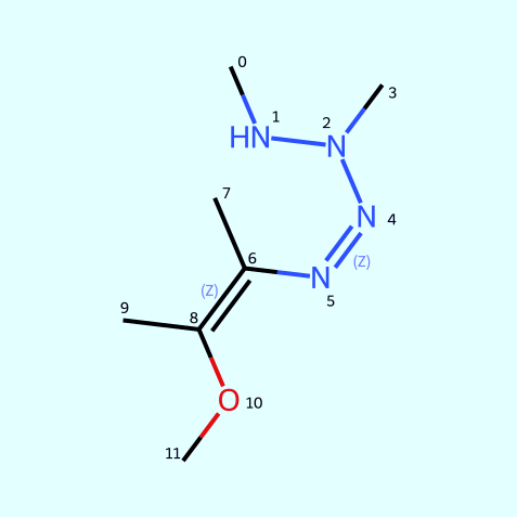 CNN(C)/N=N\C(C)=C(\C)OC